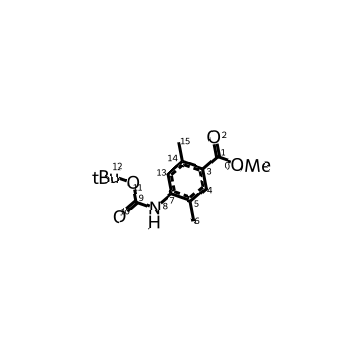 COC(=O)c1cc(C)c(NC(=O)OC(C)(C)C)cc1C